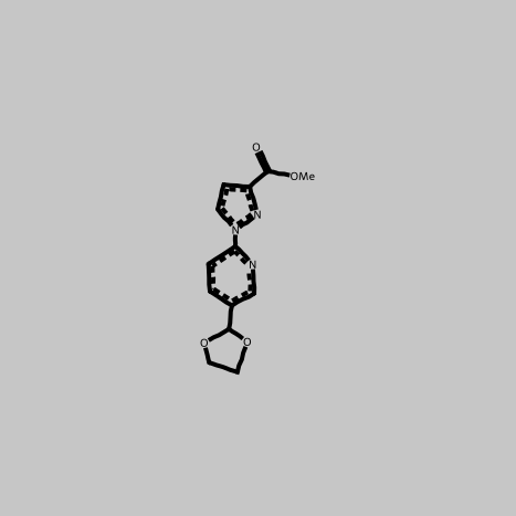 COC(=O)c1ccn(-c2ccc(C3OCCO3)cn2)n1